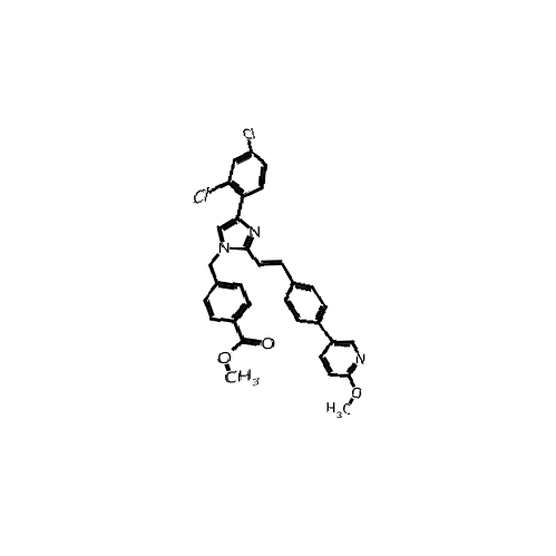 COC(=O)c1ccc(Cn2cc(-c3ccc(Cl)cc3Cl)nc2C=Cc2ccc(-c3ccc(OC)nc3)cc2)cc1